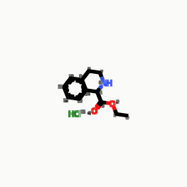 CCOC(=O)C1NCCc2ccccc21.Cl